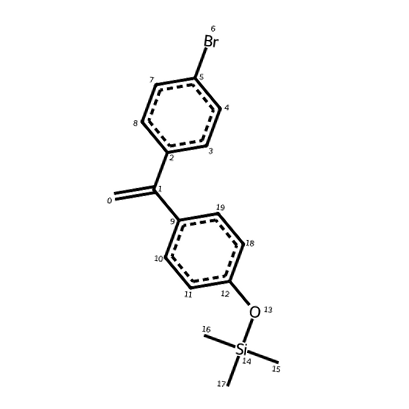 C=C(c1ccc(Br)cc1)c1ccc(O[Si](C)(C)C)cc1